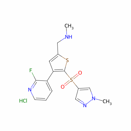 CNCc1cc(-c2cccnc2F)c(S(=O)(=O)c2cnn(C)c2)s1.Cl